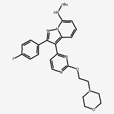 CCCCNc1cccc2c(-c3ccnc(OCCN4CCOCC4)n3)c(-c3ccc(F)cc3)nn12